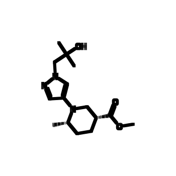 COC(=O)[C@@H]1CC[C@H](C)N(c2cnn(CC(C)(C)O)c2)C1